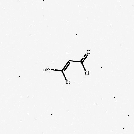 CCCC(=CC(=O)Cl)CC